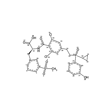 CS(=O)(=O)c1cccc(C[C@H](NC(=O)c2c(Cl)cc(CCP(=O)(c3cccc(O)c3)C3CC3)cc2Cl)C(=O)O)c1